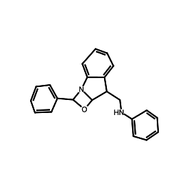 c1ccc(NCC2c3ccccc3N3C(c4ccccc4)OC23)cc1